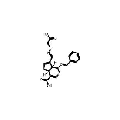 O=C(O)CON=CC1=CC[C@@H]2C(C(=O)O)=CO[C@@H](OCc3ccccc3)[C@H]12